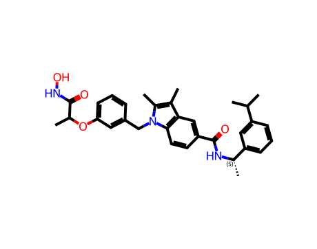 Cc1c(C)n(Cc2cccc(OC(C)C(=O)NO)c2)c2ccc(C(=O)N[C@@H](C)c3cccc(C(C)C)c3)cc12